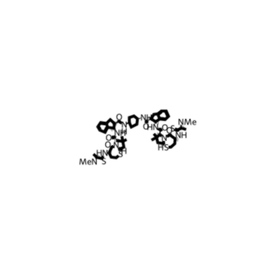 CN[C@@H](C)C(=S)N[C@H]1CCS[C@H]2CC(C)(C)[C@@H](C(=O)N[C@H]3c4ccccc4C[C@H]3C(=O)N[C@H]3CC[C@H](NC(=O)[C@@H]4Cc5ccccc5[C@@H]4NC(=O)[C@H]4N5C(=O)[C@@H](NC(=S)[C@H](C)NC)CCS[C@H]5CC4(C)C)CC3)N2C1=O